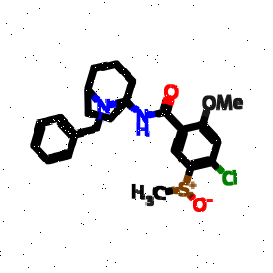 COc1cc(Cl)c([S+](C)[O-])cc1C(=O)NC12CCCC(CC1)N2Cc1ccccc1